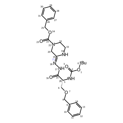 CC(C)(C)OC(=O)N[C@H](COCc1ccccc1)C(=O)N/N=C1/CN(C(=O)OCc2ccccc2)CCN1